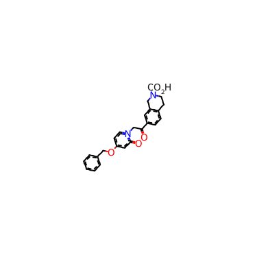 O=C(Cn1ccc(OCc2ccccc2)cc1=O)c1ccc2c(c1)CN(C(=O)O)CC2